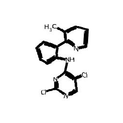 Cc1cccnc1-c1ccccc1Nc1nc(Cl)ncc1Cl